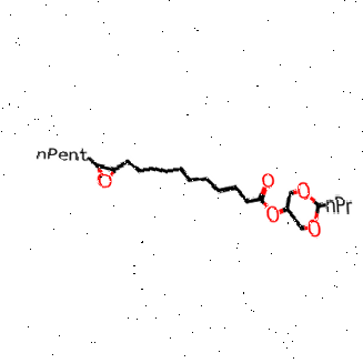 CCCCCC1OC1CCCCCCCCCCC(=O)OC1COC(CCC)OC1